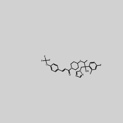 CC(SC1CCN(C(=O)/C=C/c2ccc(OC(F)(F)F)cc2)CC1)C(O)(Cn1cncn1)c1ccc(F)cc1F